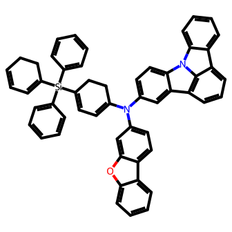 C1=CCCC([Si](C2=CC=C(N(c3ccc4c(c3)oc3ccccc34)c3ccc4c(c3)c3cccc5c6ccccc6n4c53)CC2)(c2ccccc2)c2ccccc2)=C1